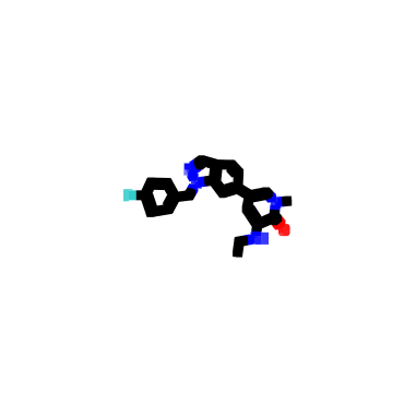 CCNc1cc(-c2ccc3cnn(Cc4ccc(F)cc4)c3c2)cn(C)c1=O